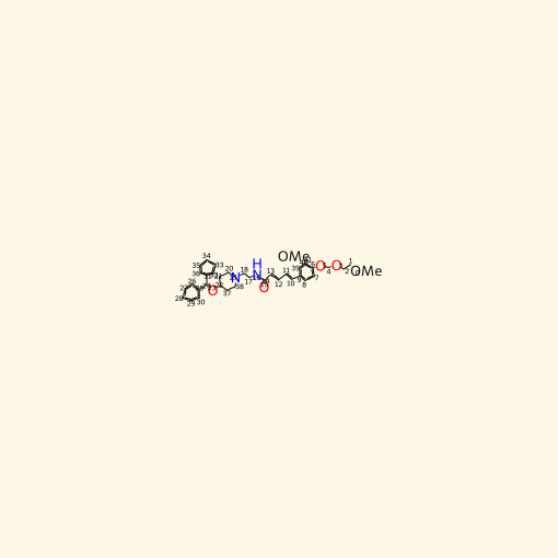 COCCOCOc1ccc(C=CC=CC(=O)NCCN2CCC(OC(c3ccccc3)c3ccccc3)CC2)cc1OC